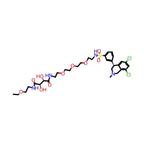 CCOCCNC(=O)[C@H](O)[C@@H](O)C(=O)NCCOCCOCCOCCNS(=O)(=O)c1cccc([C@@H]2CN(C)Cc3c(Cl)cc(Cl)cc32)c1